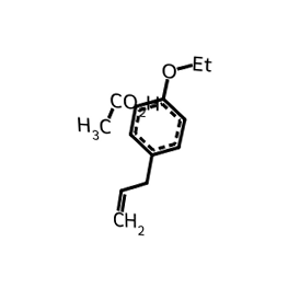 C=CCc1ccc(OCC)cc1.CC(=O)O